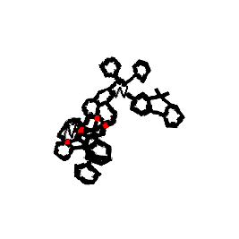 C/C(=C(/c1ccccc1)c1cc2ccc3c4c(ccc(c1N1c5cc1c1c(c5)C(C)(C)c5ccccc5-1)c24)cc1c(-c2ccccc2)c(-c2ccccc2)n(-c2ccc4c(c2)C(C)(C)c2ccccc2-4)c13)c1ccccc1